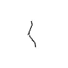 CCCCCCCCCCC#CC#CCCCCCCCCCOP(=O)(O)OCCCCCCCCCC#CC#CCCCCCCCCCC